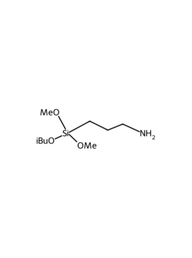 CO[Si](CCCN)(OC)OCC(C)C